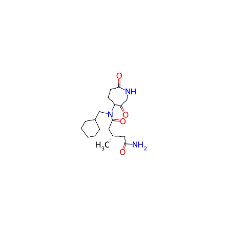 C[C@@H](CC(N)=O)CC(=O)N(CC1CCCCC1)C1CCC(=O)NCC1=O